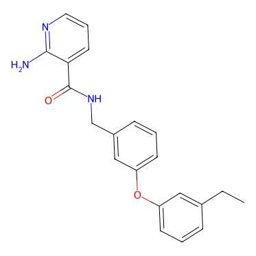 CCc1cccc(Oc2cccc(CNC(=O)c3cccnc3N)c2)c1